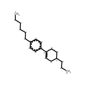 CCCCCCc1ccc(C2=CCC(CCC)CC2)cc1